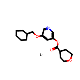 O=C(Oc1cncc(OCC2CCCCC2)c1)C1CCOCC1.[Li]